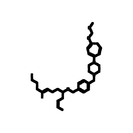 C/C=C\CC(CC/C=C(\C)CCCC)OCc1ccc(CN2CCN(C3=CC=C(OCOC)CC=C3)CC2)cc1